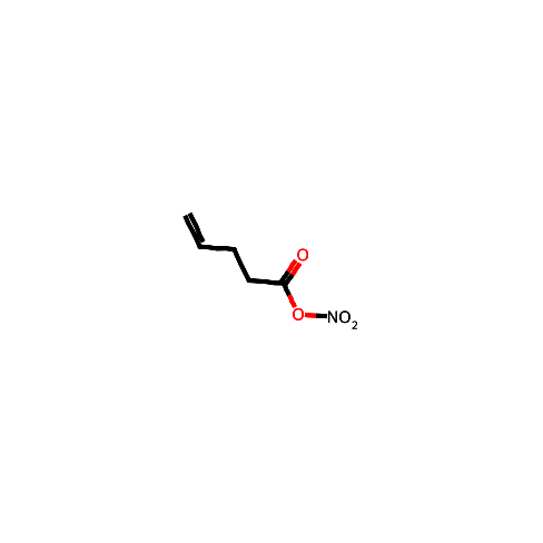 C=CCCC(=O)O[N+](=O)[O-]